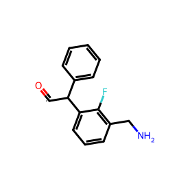 NCc1cccc(C([C]=O)c2ccccc2)c1F